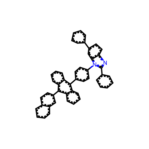 c1ccc(-c2ccc3nc(-c4ccccc4)n(-c4ccc(-c5c6ccccc6c(-c6ccc7ccccc7c6)c6ccccc56)cc4)c3c2)cc1